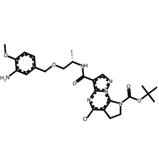 COc1ccc(COC[C@H](C)NC(=O)c2cnn3c4c(c(Cl)nc23)CCN4C(=O)OC(C)(C)C)cc1N